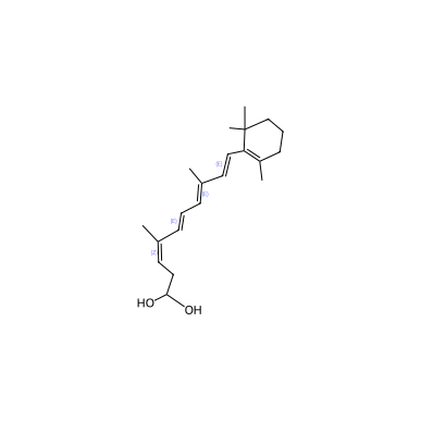 CC1=C(/C=C/C(C)=C/C=C/C(C)=C\CC(O)O)C(C)(C)CCC1